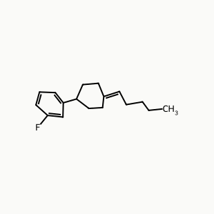 CCCCC=C1CCC(c2cccc(F)c2)CC1